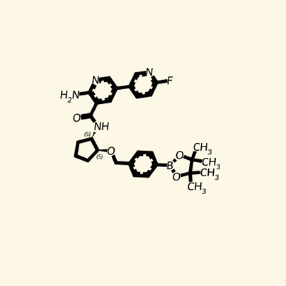 CC1(C)OB(c2ccc(CO[C@H]3CCC[C@@H]3NC(=O)c3cc(-c4ccc(F)nc4)cnc3N)cc2)OC1(C)C